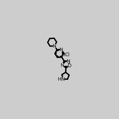 Cl.c1cc(N2CCCCC2)ncc1-c1noc(C2CCNC2)n1